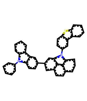 c1ccc(-n2c3ccccc3c3cc(-c4cc5ccc6cccc7c6c5c(c4)n7-c4ccc5sc6ccccc6c5c4)ccc32)cc1